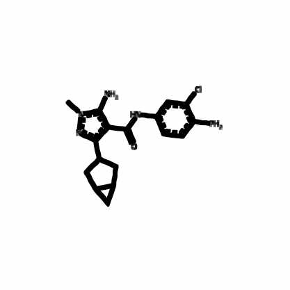 Cn1nc(C2CC3CC3C2)c(C(=O)Nc2ccc(P)c(Cl)c2)c1N